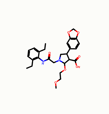 CCc1cccc(CC)c1NC(=O)CN1CC(c2ccc3c(c2)OCO3)C(C(=O)O)C1OCCOC